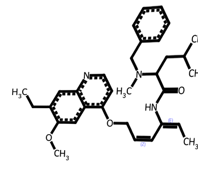 C/C=C(\C=C/COc1ccnc2cc(CC)c(OC)cc12)NC(=O)C(CC(C)C)N(C)Cc1ccccc1